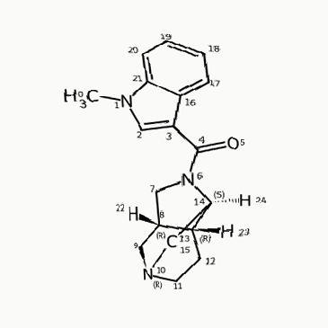 Cn1cc(C(=O)N2C[C@H]3C[N@]4CC[C@H]3[C@H]2C4)c2ccccc21